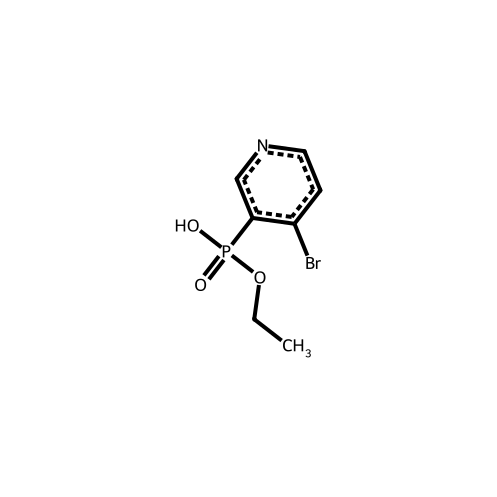 CCOP(=O)(O)c1cnccc1Br